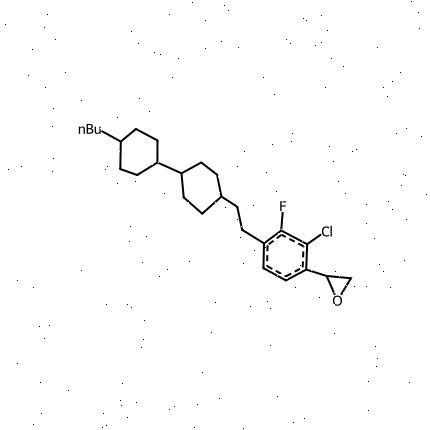 CCCCC1CCC(C2CCC(CCc3ccc(C4CO4)c(Cl)c3F)CC2)CC1